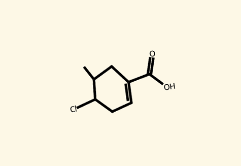 CC1CC(C(=O)O)=CCC1Cl